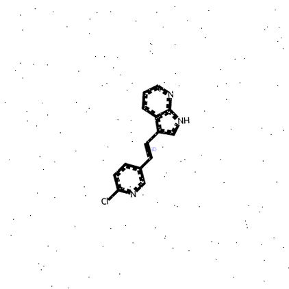 Clc1ccc(/C=C/c2c[nH]c3ncccc23)cn1